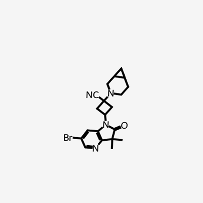 CC1(C)C(=O)N(C2CC(C#N)(N3CCC4CC4C3)C2)c2cc(Br)cnc21